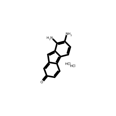 Cl.Cl.Nc1ccc2c(c1N)=CC1=CC(=O)C=CC=21